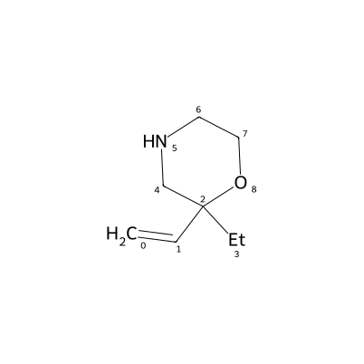 C=CC1(CC)CNCCO1